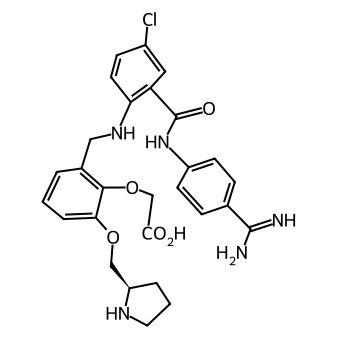 N=C(N)c1ccc(NC(=O)c2cc(Cl)ccc2NCc2cccc(OC[C@H]3CCCN3)c2OCC(=O)O)cc1